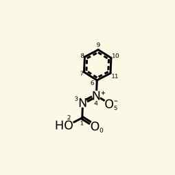 O=C(O)/N=[N+](\[O-])c1ccccc1